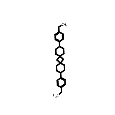 CCc1ccc(C2CCC3(CC2)CC2(CCC(c4ccc(CC)cc4)CC2)C3)cc1